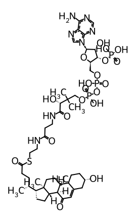 C[C@H](CCC(=O)SCCNC(=O)CCNC(=O)[C@H](O)C(C)(C)COP(=O)(O)OP(=O)(O)OC[C@H]1O[C@@H](n2cnc3c(N)ncnc32)[C@H](O)[C@@H]1OP(=O)(O)O)[C@H]1CC[C@H]2[C@@H]3C(=O)C=C4C[C@@H](O)CC[C@]4(C)[C@H]3CC[C@]12C